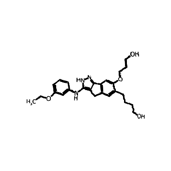 CCOc1cccc(Nc2[nH]nc3c2Cc2cc(CCCCO)c(OCCCO)cc2-3)c1